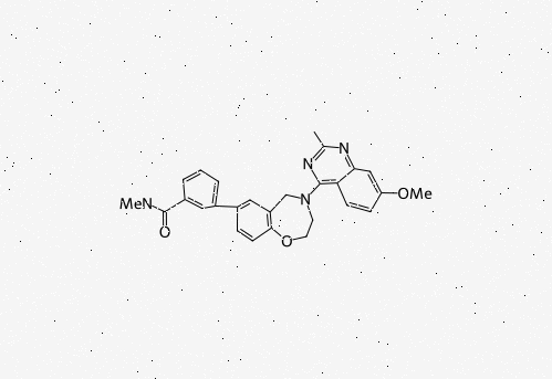 CNC(=O)c1cccc(-c2ccc3c(c2)CN(c2nc(C)nc4cc(OC)ccc24)CCO3)c1